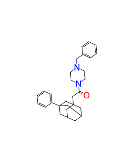 O=C(CC12CC3CC(C1)CC(c1ccccc1)(C3)C2)N1CCN(Cc2ccccc2)CC1